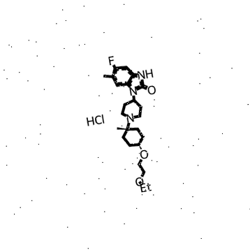 CCOCCO[C@H]1CC[C@@](C)(N2CCC(n3c(=O)[nH]c4cc(F)c(C)cc43)CC2)CC1.Cl